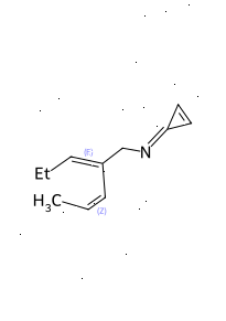 C/C=C\C(=C/CC)CN=c1cc1